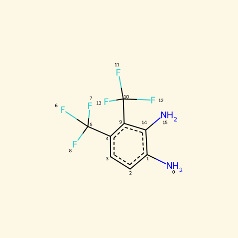 Nc1ccc(C(F)(F)F)c(C(F)(F)F)c1N